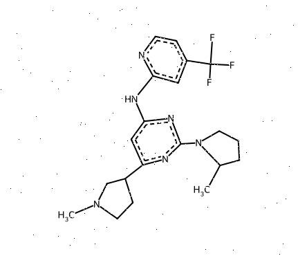 CC1CCCN1c1nc(Nc2cc(C(F)(F)F)ccn2)cc(C2CCN(C)C2)n1